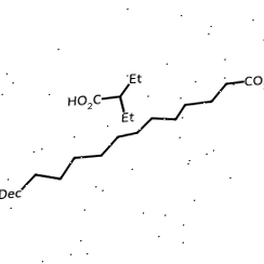 CCC(CC)C(=O)O.CCCCCCCCCCCCCCCCCCCCCC(=O)O